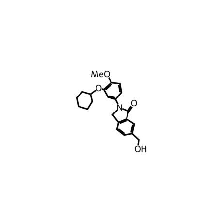 COc1ccc(N2Cc3ccc(CO)cc3C2=O)cc1OC1CCCCC1